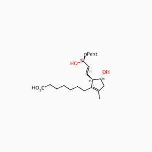 CCCCC[C@H](O)/C=C/[C@@H]1C(CCCCCCC(=O)O)=C(C)C[C@H]1O